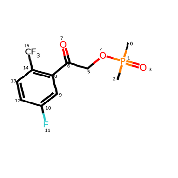 CP(C)(=O)OCC(=O)c1cc(F)ccc1C(F)(F)F